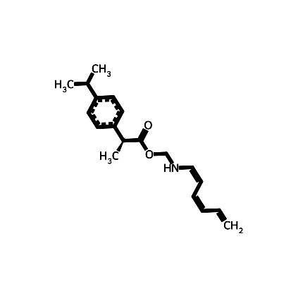 C=C/C=C\C=C/NCOC(=O)[C@@H](C)c1ccc(C(C)C)cc1